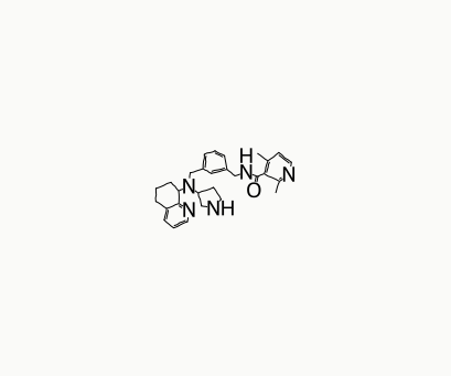 Cc1ccnc(C)c1C(=O)NCc1cccc(CN(C2CCNC2)C2CCCc3cccnc32)c1